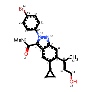 CNC(=O)c1c2cc(C3CC3)c(C(C)=CCO)cc2nn1-c1ccc(Br)cc1